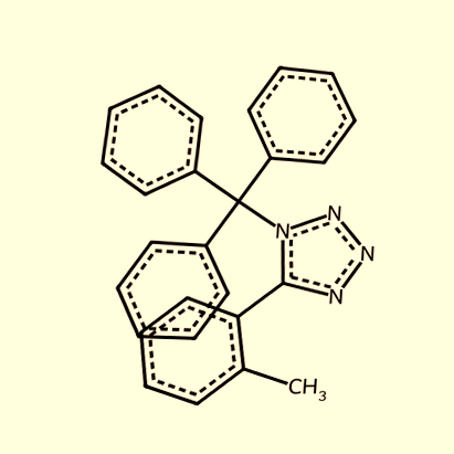 Cc1ccccc1-c1nnnn1C(c1ccccc1)(c1ccccc1)c1ccccc1